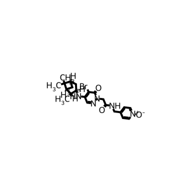 C[C@@H]1[C@H]2C[C@@H](C[C@H]1Nc1cnn(CC(=O)NCc3cc[n+]([O-])cc3)c(=O)c1Br)C2(C)C